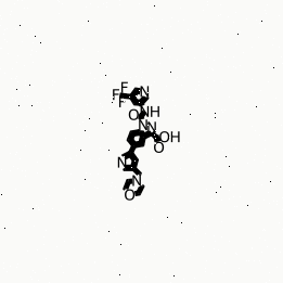 O=C(O)c1nn(C(=O)Nc2cncc(C(F)(F)F)c2)c2ccc(-c3cncc(CN4CCOCC4)c3)cc12